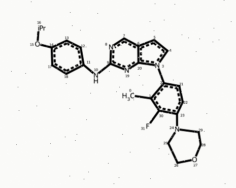 Cc1c(-n2ccc3cnc(Nc4ccc(OC(C)C)cc4)nc32)ccc(N2CCOCC2)c1F